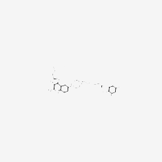 CCCCc1nc2c(N)nc3ccc(N4CCN(CCOCCC(=O)Oc5c(F)c(F)cc(F)c5F)CC4)cc3c2[nH]1